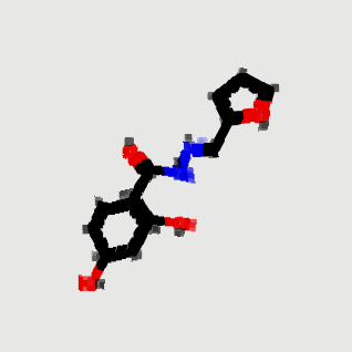 O=C(N/N=C/c1ccco1)c1ccc(O)cc1O